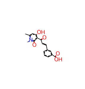 Cc1cc(O)c(C(=O)/C=C/c2cccc(C(=O)O)c2)c(=O)n1C